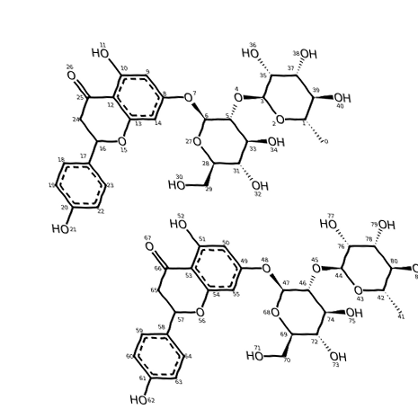 C[C@@H]1O[C@@H](O[C@H]2[C@H](Oc3cc(O)c4c(c3)OC(c3ccc(O)cc3)CC4=O)O[C@H](CO)[C@@H](O)[C@@H]2O)[C@H](O)[C@H](O)[C@H]1O.C[C@@H]1O[C@@H](O[C@H]2[C@H](Oc3cc(O)c4c(c3)OC(c3ccc(O)cc3)CC4=O)O[C@H](CO)[C@@H](O)[C@@H]2O)[C@H](O)[C@H](O)[C@H]1O